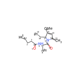 C#CCCC(=O)NC(CCC)C(=O)N1C(=C)C=C(OC)C1CC(C)C